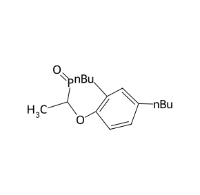 CCCCc1ccc(OC(C)P=O)c(CCCC)c1